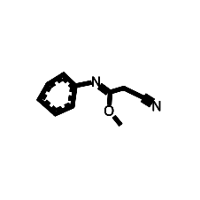 COC(CC#N)=Nc1ccccc1